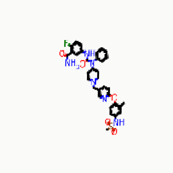 Cc1cc(NS(C)(=O)=O)ccc1Oc1ccc(CN2CCC(N(C(=O)Nc3ccc(F)c(C(N)=O)c3)c3ccccc3)CC2)cn1